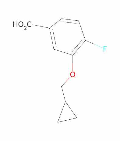 O=C(O)c1ccc(F)c(OCC2CC2)c1